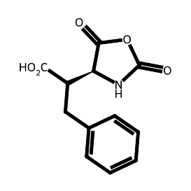 O=C1N[C@@H](C(Cc2ccccc2)C(=O)O)C(=O)O1